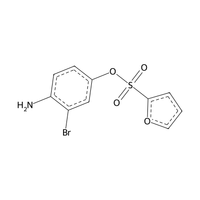 Nc1ccc(OS(=O)(=O)c2ccco2)cc1Br